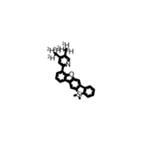 [2H]C([2H])([2H])c1cnc(-c2cccc3c2oc2cc4c(cc23)[Si](C)(C)c2ccccc2-4)cc1C([2H])([2H])[2H]